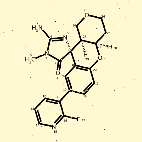 CN1C(=O)[C@]2(N=C1N)c1cc(-c3cccnc3F)ccc1O[C@@H]1CCOC[C@@H]12